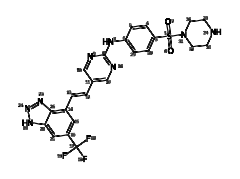 O=S(=O)(c1ccc(Nc2ncc(/C=C/c3cc(C(F)(F)F)cc4[nH]nnc34)cn2)cc1)N1CCNCC1